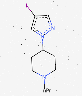 CCCN1CCC(n2cc(I)cn2)CC1